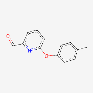 Cc1ccc(Oc2cccc(C=O)n2)cc1